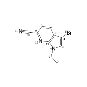 CCn1cc(Br)c2ccc(C#N)nc21